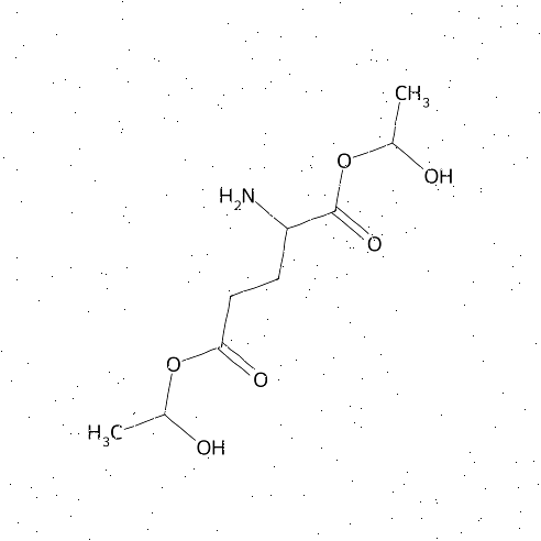 CC(O)OC(=O)CCC(N)C(=O)OC(C)O